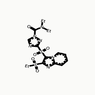 CCN(CC)C(=O)n1cnc(S(=O)(=O)c2c(S(=O)(=O)CC)nc3ccccn23)n1